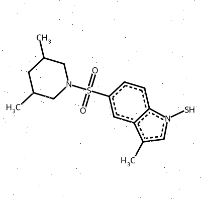 Cc1cn(S)c2ccc(S(=O)(=O)N3CC(C)CC(C)C3)cc12